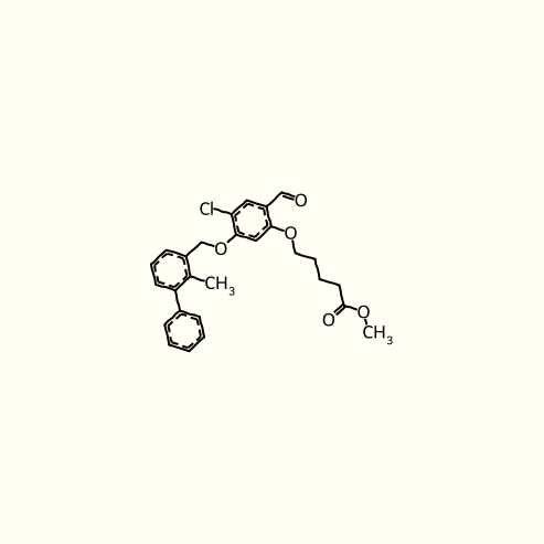 COC(=O)CCCCOc1cc(OCc2cccc(-c3ccccc3)c2C)c(Cl)cc1C=O